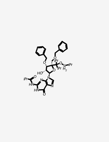 CC(C)[SiH2]OC(C(C)C)(C(C)C)[C@@]1(COCc2ccccc2)O[C@@H](n2cnc3c(=O)[nH]c(NC(=O)C(C)C)nc32)[C@H](O)[C@@H]1OCc1ccccc1